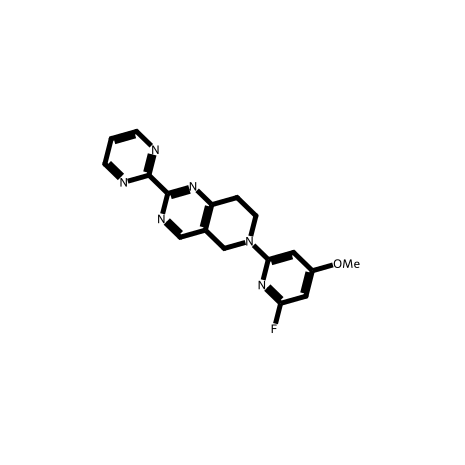 COc1cc(F)nc(N2CCc3nc(-c4ncccn4)ncc3C2)c1